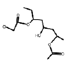 CCC(CC(O)CC(C)OC(C)=O)OC(=O)CCl